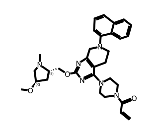 C=CC(=O)N1CCN(c2nc(OC[C@@H]3C[C@@H](OC)CN3C)nc3c2CCN(c2cccc4ccccc24)C3)CC1